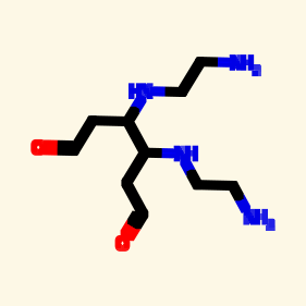 NCCNC(CC=O)C(CC=O)NCCN